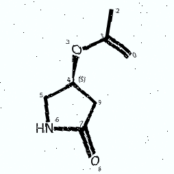 C=C(C)O[C@@H]1CNC(=O)C1